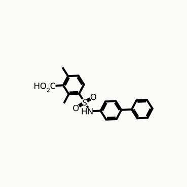 Cc1ccc(S(=O)(=O)Nc2ccc(-c3ccccc3)cc2)c(C)c1C(=O)O